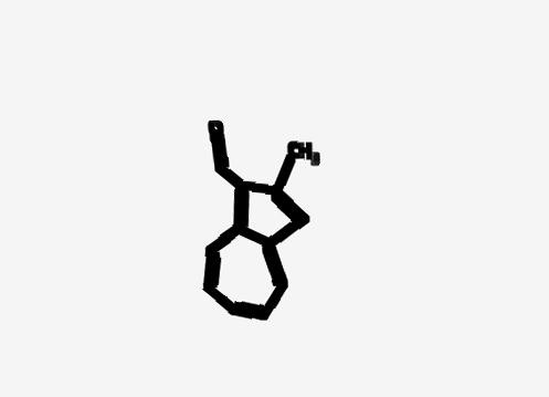 Cc1cc2cccccc-2c1C=O